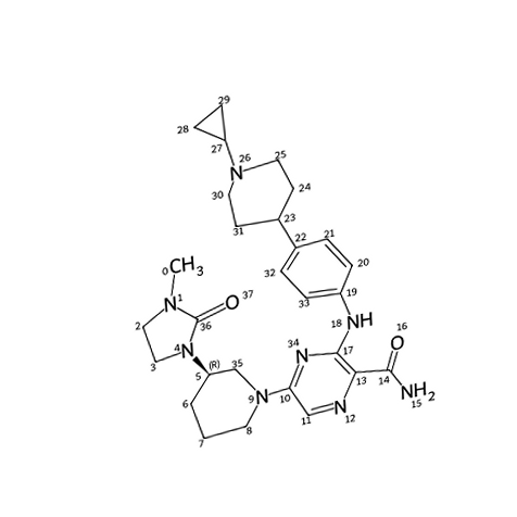 CN1CCN([C@@H]2CCCN(c3cnc(C(N)=O)c(Nc4ccc(C5CCN(C6CC6)CC5)cc4)n3)C2)C1=O